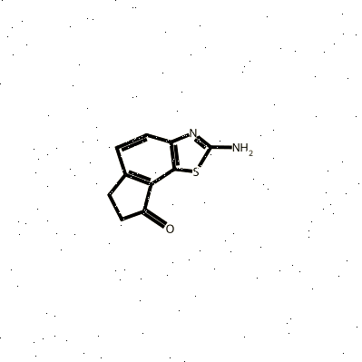 Nc1nc2ccc3c(c2s1)C(=O)CC3